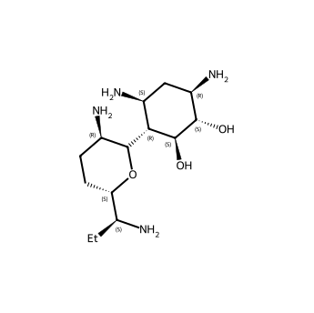 CC[C@H](N)[C@@H]1CC[C@@H](N)C([C@H]2[C@H](O)[C@@H](O)[C@H](N)C[C@@H]2N)O1